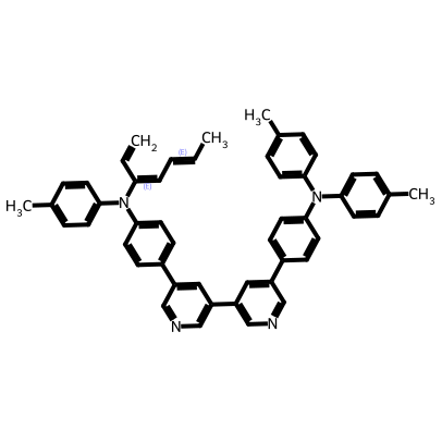 C=C/C(=C\C=C\C)N(c1ccc(C)cc1)c1ccc(-c2cncc(-c3cncc(-c4ccc(N(c5ccc(C)cc5)c5ccc(C)cc5)cc4)c3)c2)cc1